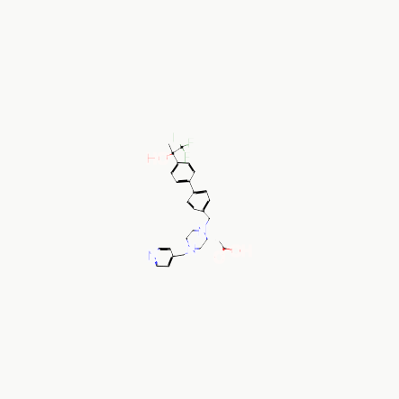 CC(O)(c1ccc(-c2ccc(CN3CCN(Cc4ccncc4)C[C@H]3CC(=O)O)cc2)cc1)C(F)(F)F